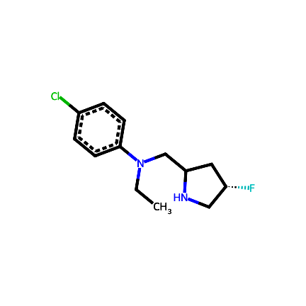 CCN(CC1C[C@H](F)CN1)c1ccc(Cl)cc1